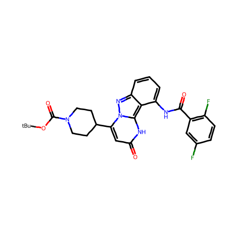 CC(C)(C)OC(=O)N1CCC(c2cc(=O)[nH]c3c4c(NC(=O)c5cc(F)ccc5F)cccc4nn23)CC1